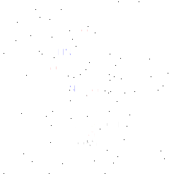 COc1ccc2c(c1S(C)(=O)=O)C(=O)N(C1CCC(=O)NC1=O)C2